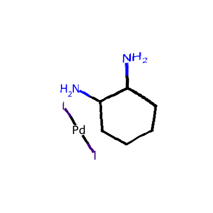 NC1CCCCC1N.[I][Pd][I]